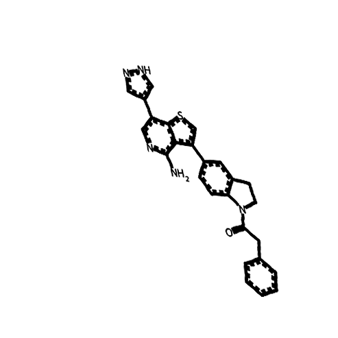 Nc1ncc(-c2cn[nH]c2)c2scc(-c3ccc4c(c3)CCN4C(=O)Cc3ccccc3)c12